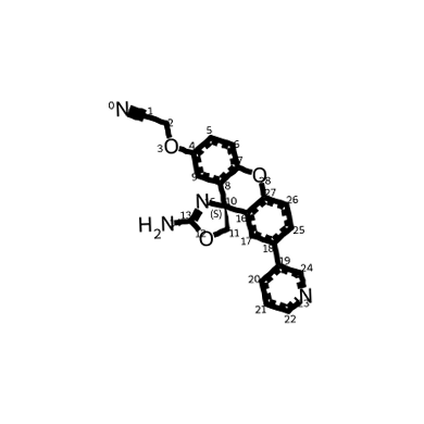 N#CCOc1ccc2c(c1)[C@]1(COC(N)=N1)c1cc(-c3cccnc3)ccc1O2